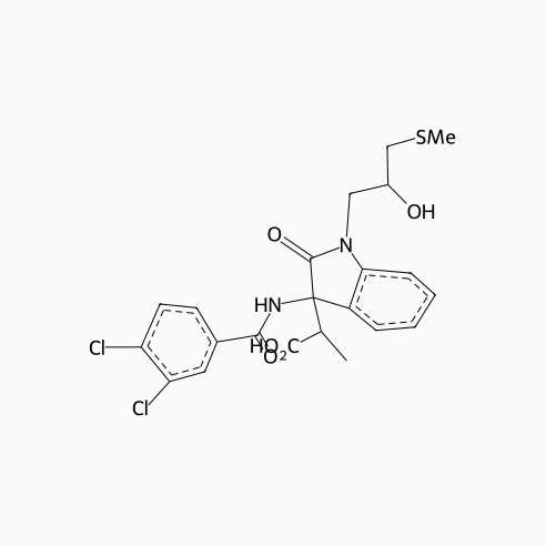 CSCC(O)CN1C(=O)C(NC(=O)c2ccc(Cl)c(Cl)c2)(C(C)C(=O)O)c2ccccc21